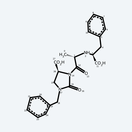 C[C@H](N[C@@H](Cc1ccccc1)C(=O)O)C(=O)N1C(=O)N(Cc2ccccc2)C[C@H]1C(=O)O